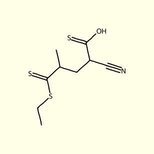 CCSC(=S)C(C)CC(C#N)C(O)=S